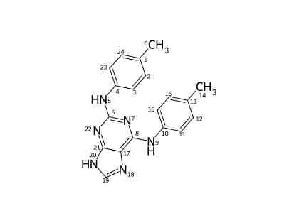 Cc1ccc(Nc2nc(Nc3ccc(C)cc3)c3nc[nH]c3n2)cc1